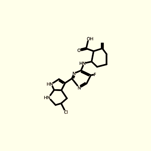 C=C1CCCC(Nc2nc(C3=CNC4NCC(Cl)CC34)ncc2F)C1C(=O)O